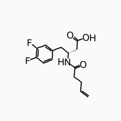 C=CCCC(=O)N[C@@H](CC(=O)O)Cc1ccc(F)c(F)c1